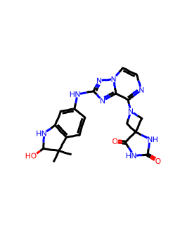 CC1(C)c2ccc(Nc3nc4c(N5CC6(C5)NC(=O)NC6=O)nccn4n3)cc2NC1O